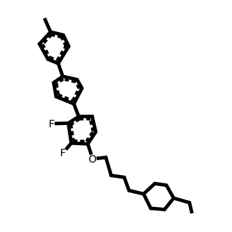 CCC1CCC(CCCCOc2ccc(-c3ccc(-c4ccc(C)cc4)cc3)c(F)c2F)CC1